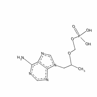 CC(Cn1cnc2c(N)ncnc21)OCOP(=O)(O)O